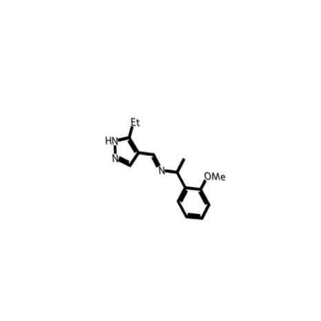 CCc1[nH]ncc1C=NC(C)c1ccccc1OC